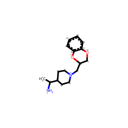 CC(N)C1CCN(CC2COc3ccccc3O2)CC1